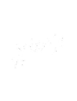 CCc1c2c(nc3ccc(O[C@@H]4O[C@H](CO)[C@H](O)[C@H](O)[C@H]4O)cc13)C1CC3C(COC(=O)[C@]3(O)CC)C(=O)N1C2